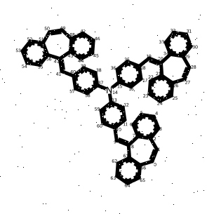 C1=Cc2ccccc2C(=Cc2ccc(N(c3ccc(C=C4c5ccccc5C=Cc5ccccc54)cc3)c3ccc(C=C4c5ccccc5C=Cc5ccccc54)cc3)cc2)c2ccccc21